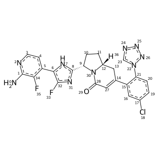 Nc1nccc(-c2[nH]c([C@@H]3CC[C@@H]4CC(c5cc(Cl)ccc5-n5cnnn5)=CC(=O)N43)nc2F)c1F